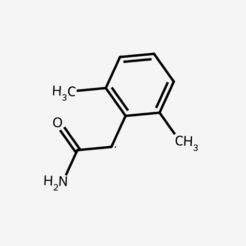 Cc1cccc(C)c1[CH]C(N)=O